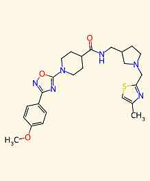 COc1ccc(-c2noc(N3CCC(C(=O)NCC4CCN(Cc5nc(C)cs5)C4)CC3)n2)cc1